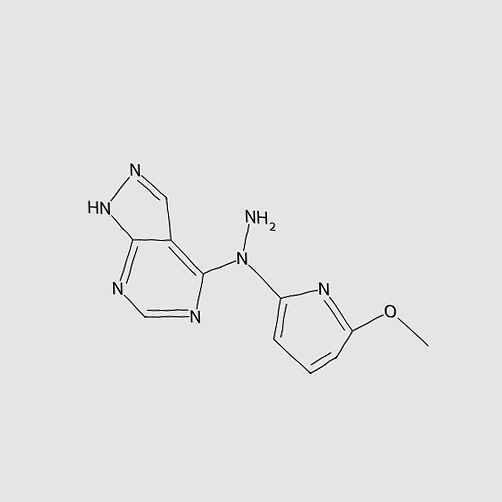 COc1cccc(N(N)c2ncnc3[nH]ncc23)n1